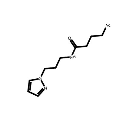 CC(=O)CCCC(=O)NCCCn1cccn1